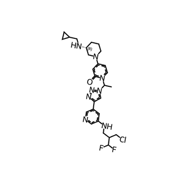 CC(n1cc(-c2cncc(NCC(CCl)C(F)F)c2)nn1)n1ccc(N2CCC[C@@H](NCC3CC3)C2)cc1=O